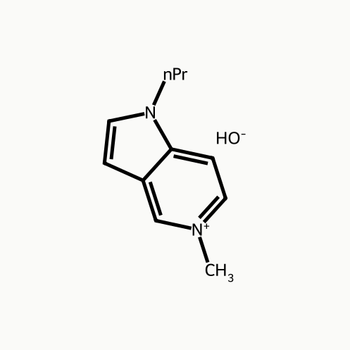 CCCn1ccc2c[n+](C)ccc21.[OH-]